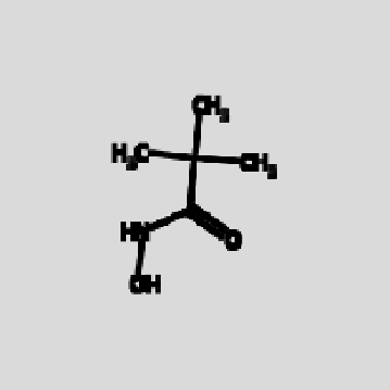 CC(C)(C)C(=O)NO